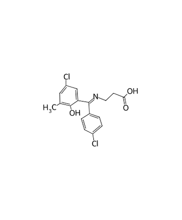 Cc1cc(Cl)cc(C(=NCCC(=O)O)c2ccc(Cl)cc2)c1O